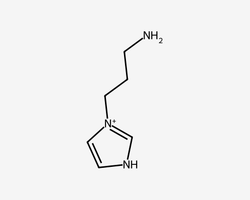 NCCC[n+]1cc[nH]c1